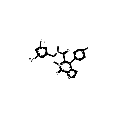 CN(Cc1cc(C(F)(F)F)cc(C(F)(F)F)c1)C(=O)c1c(-c2ccc(F)cc2)c2ccsc2c(=O)n1C